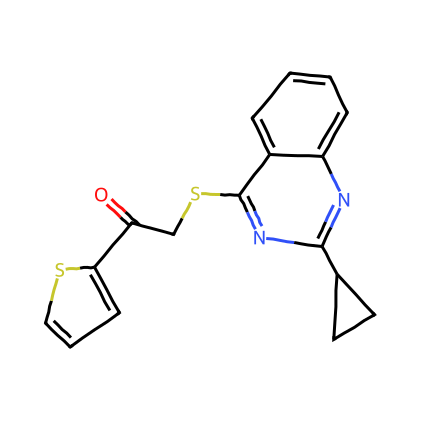 O=C(CSc1nc(C2CC2)nc2ccccc12)c1cccs1